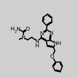 CN(CCNc1nc(-c2ccccc2)nc2[nH]c(COc3ccccc3)cc12)C(N)=O